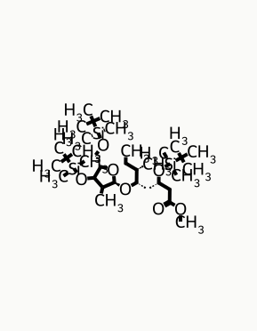 CC[C@H](C)[C@H](C[C@@H](CC(=O)OC)O[Si](C)(C)C(C)(C)C)O[C@@H]1O[C@@H](CO[Si](C)(C)C(C)(C)C)C(O[Si](C)(C)C(C)(C)C)C1C